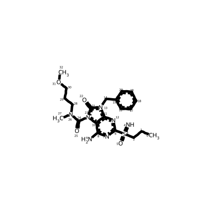 CCCS(=N)(=O)c1nc(N)c2c(n1)n(Cc1ccccc1)c(=O)n2C(=O)N(C)CCCOC